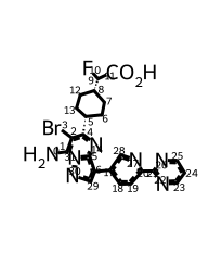 Nc1c(Br)c([C@H]2CC[C@@H](C(F)C(=O)O)CC2)nc2c(-c3ccc(-c4ncccn4)nc3)cnn12